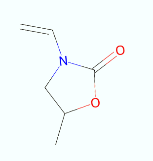 C=CN1CC(C)OC1=O